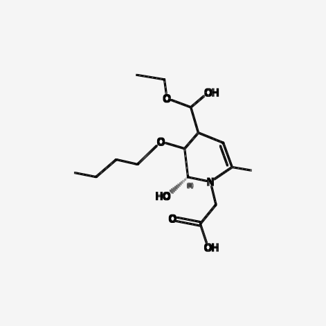 CCCCOC1C(C(O)OCC)C=C(C)N(CC(=O)O)[C@@H]1O